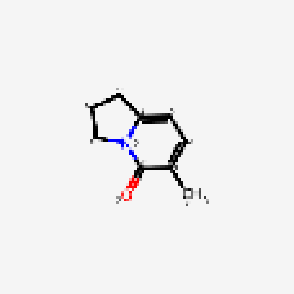 Cc1ccc2n(c1=O)CCC2